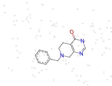 O=C1[N]C=NC2=C1CCN(Cc1ccccc1)C2